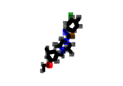 CCOc1cc(C)cc(CN2[C@H](C)CN(c3nc4cc(F)c(C)cc4s3)C[C@@H]2C)c1